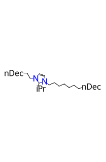 CCCCCCCCCCCCCCCCCN1C=CN(CCCCCCCCCCCC)C1C(C)C